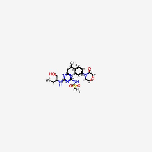 CC(C)CC(CO)Nc1nc(CC(C)c2ccc(N3CCOCC3=O)cc2)nc(NS(C)(=O)=O)n1